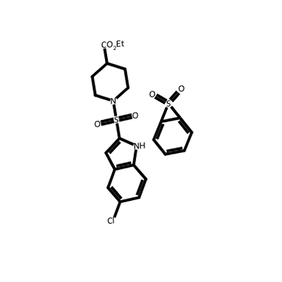 CCOC(=O)C1CCN(S(=O)(=O)c2cc3cc(Cl)ccc3[nH]2)CC1.O=S1(=O)c2ccccc21